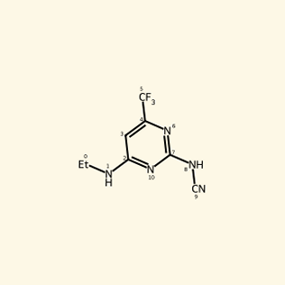 CCNc1cc(C(F)(F)F)nc(NC#N)n1